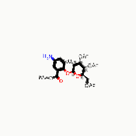 COC(=O)c1cc(N)ccc1O[C@@H]1O[C@H](COC(C)=O)[C@@H](OC(C)=O)[C@H](OC(C)=O)[C@H]1OC(C)=O